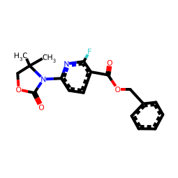 CC1(C)COC(=O)N1c1ccc(C(=O)OCc2ccccc2)c(F)n1